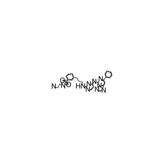 CN(C)CCN(C)S(=O)(=O)c1cccc(CCCNc2nccc(N(C)c3nc(-c4ccccc4)cc4ncnn34)n2)c1